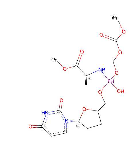 CC(C)OC(=O)OCO[PH](O)(N[C@@H](C)C(=O)OC(C)C)OCC1CC[C@H](n2ccc(=O)[nH]c2=O)O1